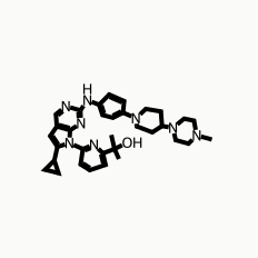 CN1CCN(C2CCN(c3ccc(Nc4ncc5cc(C6CC6)n(-c6cccc(C(C)(C)O)n6)c5n4)cc3)CC2)CC1